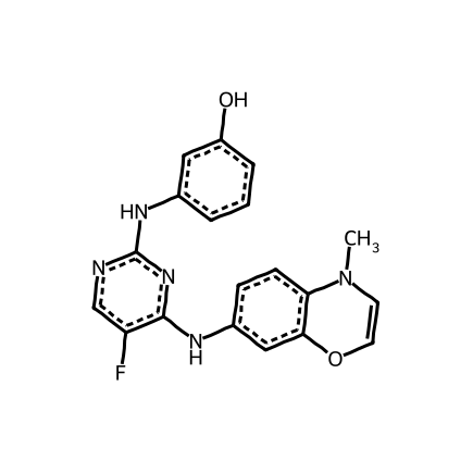 CN1C=COc2cc(Nc3nc(Nc4cccc(O)c4)ncc3F)ccc21